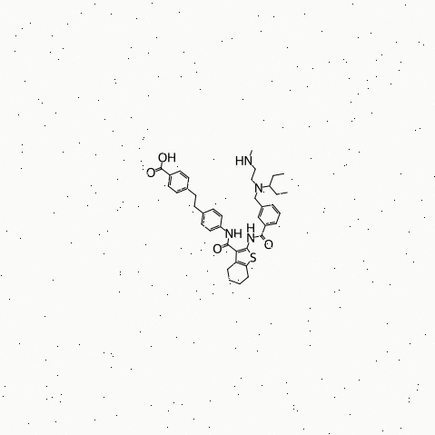 CCC(CC)N(CCNC)Cc1cccc(C(=O)Nc2sc3c(c2C(=O)Nc2ccc(CCc4ccc(C(=O)O)cc4)cc2)CCCC3)c1